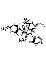 Cc1ccc(S(=O)(=O)n2c(C(=O)O)c(-c3ccccc3)c3cc(C)cc(C)c32)cc1